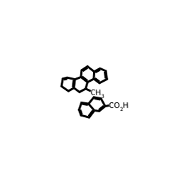 CC1CC2=C(C=CCC2)c2ccc3ccccc3c21.O=C(O)c1ccc2ccccc2c1